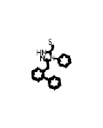 S=CC1NN=C(Cc2ccccc2-c2ccccc2)N1c1ccccc1